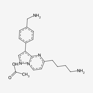 CC(=O)O.NCCCCc1ccn2ncc(-c3ccc(CN)cc3)c2n1